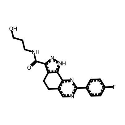 O=C(NCCCO)c1n[nH]c2c1CCc1cnc(-c3ccc(F)cc3)nc1-2